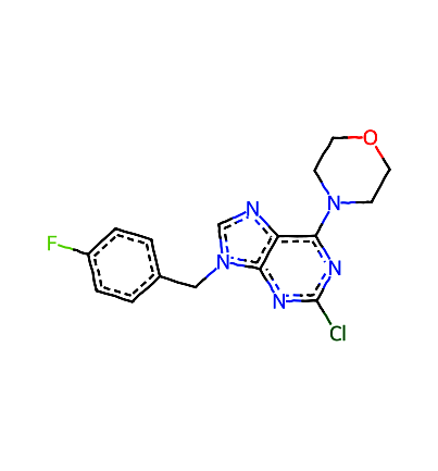 Fc1ccc(Cn2cnc3c(N4CCOCC4)nc(Cl)nc32)cc1